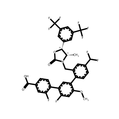 COc1cc(F)c(-c2ccc(C(=O)O)cc2F)cc1-c1ccc(C(F)F)cc1CN1C(=O)O[C@H](c2cc(C(F)(F)F)cc(C(F)(F)F)c2)[C@@H]1C